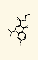 CCOC(=O)c1cn(C(C)C)c2cc(I)ccc2c1=O